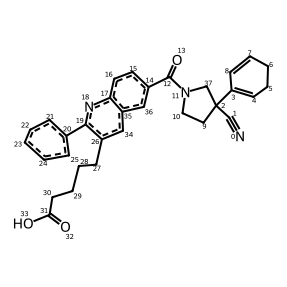 N#CC1(C2=CCCC=C2)CCN(C(=O)c2ccc3nc(-c4ccccc4)c(CCCCC(=O)O)cc3c2)C1